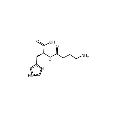 NCCCC(=O)N[C@@H](Cc1c[nH]cn1)C(=O)O